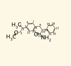 COCC(C)c1ccc(CC(C(N)=O)c2ccccc2)cc1